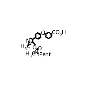 CCCC(C)N(C)C(=O)OCc1c(-c2ccc(O[C@H]3CCC[C@H](C(=O)O)C3)cc2)cnn1C